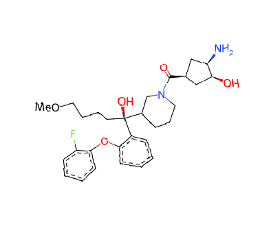 COCCCC[C@@](O)(c1ccccc1Oc1ccccc1F)C1CCCN(C(=O)[C@H]2C[C@@H](N)[C@@H](O)C2)C1